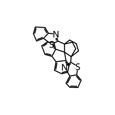 c1ccc2c(c1)-c1ccccc1C21C2(c3nc4ccccc4s3)CCCC1(c1nc3ccccc3s1)CC2